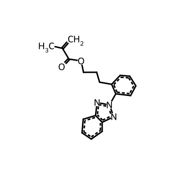 C=C(C)C(=O)OCCCc1ccccc1-n1nc2ccccc2n1